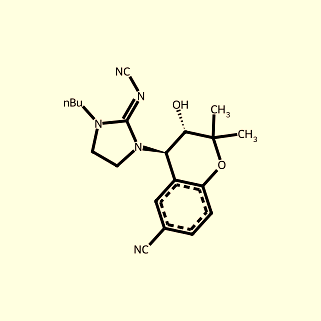 CCCCN1CCN([C@@H]2c3cc(C#N)ccc3OC(C)(C)[C@H]2O)C1=NC#N